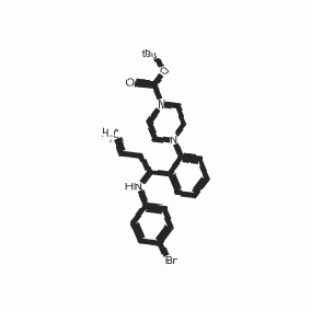 C=CCC(Nc1ccc(Br)cc1)c1ccccc1N1CCN(C(=O)OC(C)(C)C)CC1